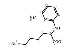 CCCCCCCCCCCCCC(Nc1ccccc1)C(=O)[O-].[Na+]